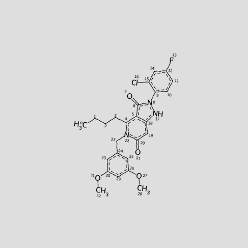 CCCCc1c2c(=O)n(-c3ccc(F)cc3Cl)[nH]c2cc(=O)n1Cc1cc(OC)cc(OC)c1